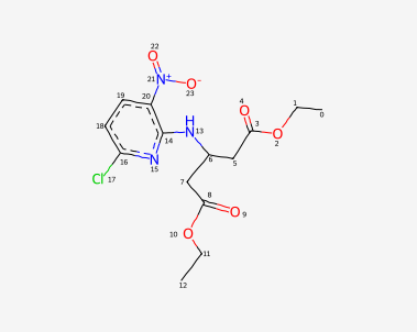 CCOC(=O)CC(CC(=O)OCC)Nc1nc(Cl)ccc1[N+](=O)[O-]